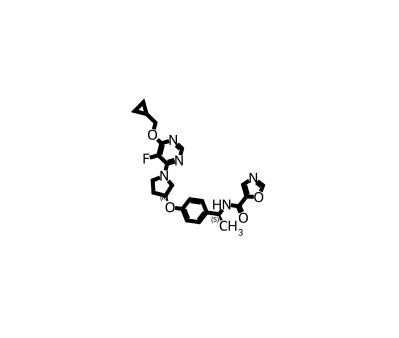 C[C@H](NC(=O)c1cnco1)c1ccc(O[C@@H]2CCN(c3ncnc(OCC4CC4)c3F)C2)cc1